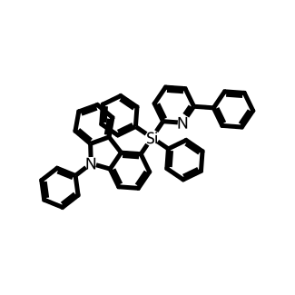 c1ccc(-c2cccc([Si](c3ccccc3)(c3ccccc3)c3cccc4c3c3ccccc3n4-c3ccccc3)n2)cc1